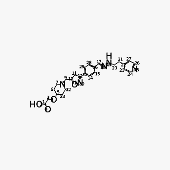 O=C(O)COC1CCN(CC2CC(c3ccc(C=NNCCc4ccncc4)cc3)=NO2)CC1